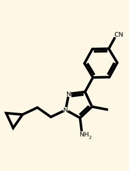 Cc1c(-c2ccc(C#N)cc2)nn(CCC2CC2)c1N